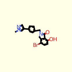 Cn1cc(-c2ccc(CN3Cc4c(Br)ccc(O)c4C3=O)cc2)cn1